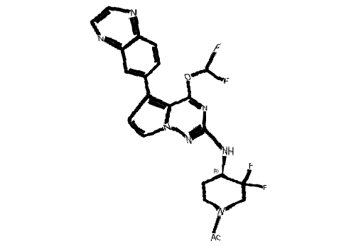 CC(=O)N1CC[C@@H](Nc2nc(OC(F)F)c3c(-c4ccc5nccnc5c4)ccn3n2)C(F)(F)C1